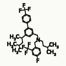 CC(C)CCN(Cc1cc(-c2ccc(C(F)(F)F)cc2)cc(C(C)CC(C)C)c1)Cc1ccc(F)cc1C(F)(F)F